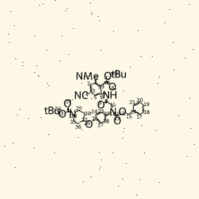 CNc1cc(C#N)cc(NC(=O)CN(C(=O)OCc2ccccc2)c2ccc(OC3CCN(C(=O)OC(C)(C)C)CC3)cc2)c1C(=O)OC(C)(C)C